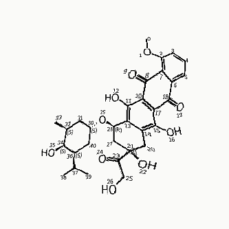 COc1cccc2c1C(=O)c1c(O)c3c(c(O)c1C2=O)C[C@](O)(C(=O)CO)C[C@H]3O[C@H]1C[C@H](C)[C@H](O)[C@H](C(C)C)C1